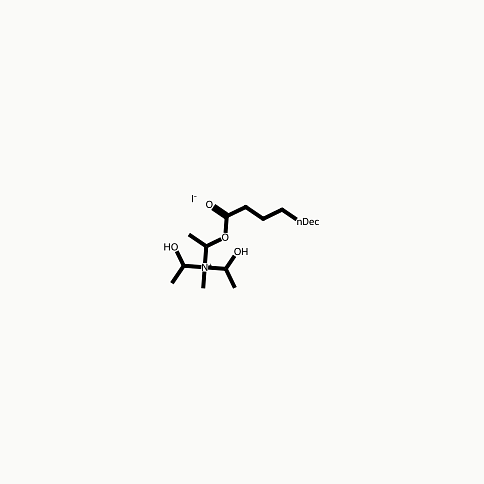 CCCCCCCCCCCCCC(=O)OC(C)[N+](C)(C(C)O)C(C)O.[I-]